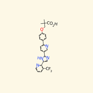 CC(C)(COc1ccc(-c2ccc(-c3ncc(-c4ncccc4C(F)(F)F)[nH]3)cn2)cc1)C(=O)O